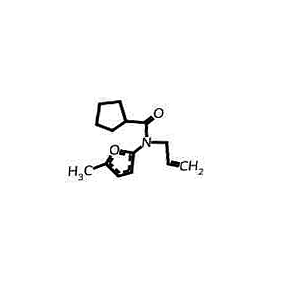 C=CCN(C(=O)C1CCCC1)c1ccc(C)o1